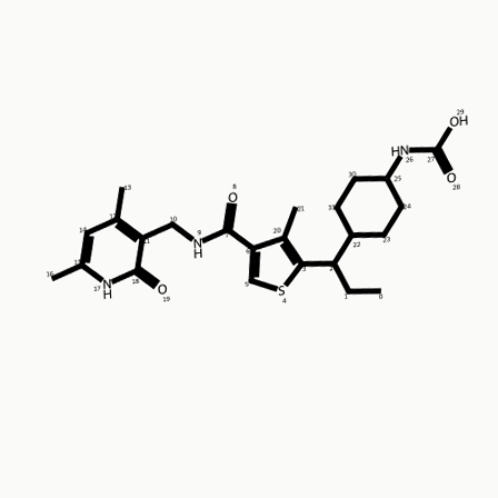 CCC(c1scc(C(=O)NCc2c(C)cc(C)[nH]c2=O)c1C)C1CCC(NC(=O)O)CC1